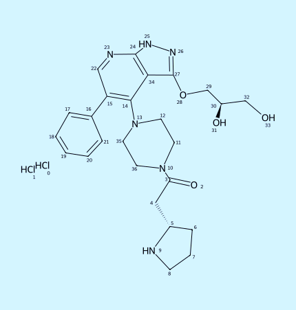 Cl.Cl.O=C(C[C@@H]1CCCN1)N1CCN(c2c(-c3ccccc3)cnc3[nH]nc(OC[C@H](O)CO)c23)CC1